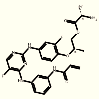 C=CC(=O)Nc1cccc(Nc2nc(Nc3ccc(O[C@H](C)COC(=O)[C@@H](N)C(C)C)c(F)c3)ncc2F)c1